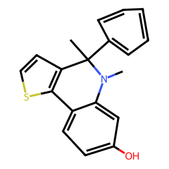 CN1c2cc(O)ccc2-c2sccc2C1(C)c1ccccc1